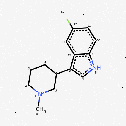 CN1CCCC(c2c[nH]c3ccc(F)cc23)C1